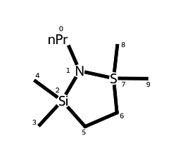 CCCN1[Si](C)(C)CCS1(C)C